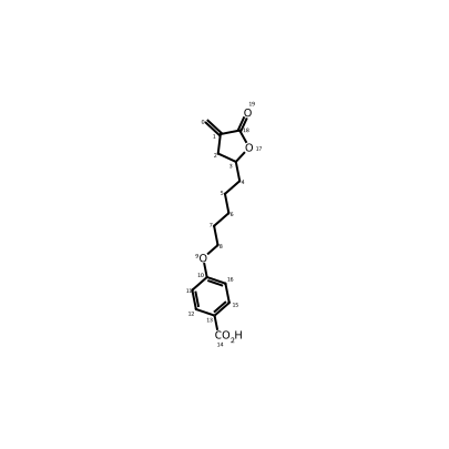 C=C1CC(CCCCCOc2ccc(C(=O)O)cc2)OC1=O